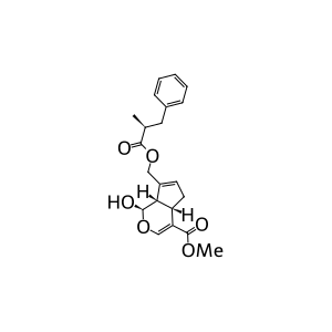 COC(=O)C1=CO[C@@H](O)[C@@H]2C(COC(=O)[C@@H](C)Cc3ccccc3)=CC[C@H]12